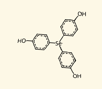 Oc1ccc([Se](c2ccc(O)cc2)c2ccc(O)cc2)cc1